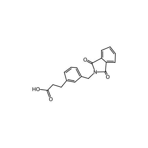 O=C(O)CCc1cccc(CN2C(=O)c3ccccc3C2=O)c1